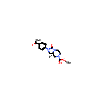 COC(=O)c1ccc(N2C[C@@H]3CN(C(O)OC(C)(C)C)CCN3C2=O)cc1